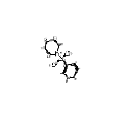 O=S(=O)(C1=CC[CH]C=C1)N1CCCCC1